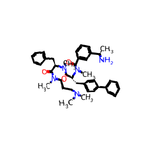 C[C@H](N)c1cccc(C(=O)N(C)[C@H](Cc2ccc(-c3ccccc3)cc2)C(=O)N(C)[C@H](Cc2ccccc2)C(=O)N(C)CCCN(C)C)c1